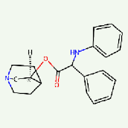 O=C(O[C@@H]1CN2CCC1CC2)C(Nc1ccccc1)c1ccccc1